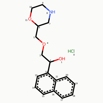 Cl.OC(COCC1CNCCO1)c1cccc2ccccc12